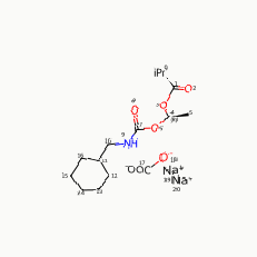 CC(C)C(=O)O[C@@H](C)OC(=O)NCC1CCCCC1.O=C([O-])[O-].[Na+].[Na+]